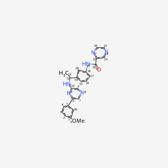 COc1cccc(-c2cncc(NC(C)c3cccc(NC(=O)c4cnccn4)c3)n2)c1